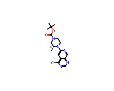 C[C@H]1CN(C(=O)OC(C)(C)C)CCN1c1cc2c(Cl)ncnc2cn1